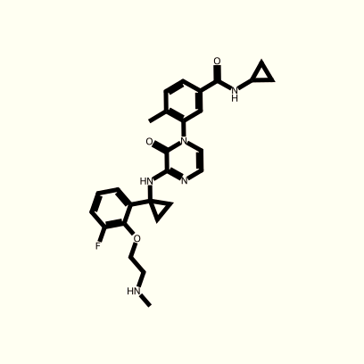 CNCCOc1c(F)cccc1C1(Nc2nccn(-c3cc(C(=O)NC4CC4)ccc3C)c2=O)CC1